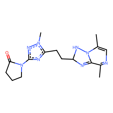 CC1=CN=C(C)C2=NC(CCc3nc(N4CCCC4=O)nn3C)NN12